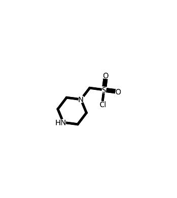 O=S(=O)(Cl)CN1CCNCC1